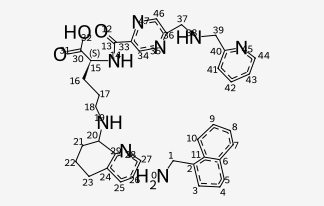 NCc1cccc2ccccc12.O=C(N[C@@H](CCCNC1CCCc2cccnc21)C(=O)O)c1cnc(CNCc2ccccn2)cn1